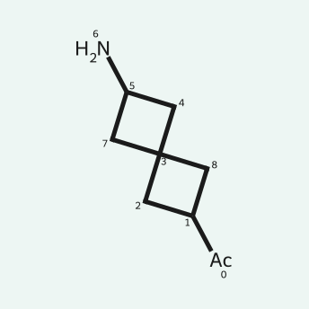 CC(=O)C1CC2(CC(N)C2)C1